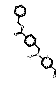 O=Cc1ccc(N(P)Cc2ccc(C(=O)OCc3ccccc3)cc2)nc1